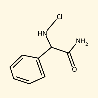 NC(=O)C(NCl)c1ccccc1